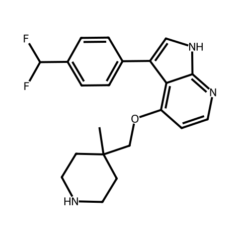 CC1(COc2ccnc3[nH]cc(-c4ccc(C(F)F)cc4)c23)CCNCC1